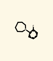 Fc1ccccc1N1CCCCCC1